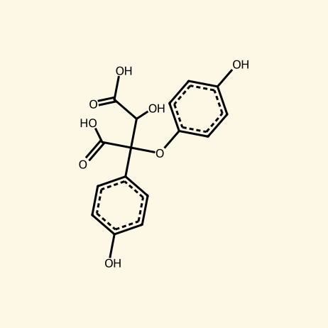 O=C(O)C(O)C(Oc1ccc(O)cc1)(C(=O)O)c1ccc(O)cc1